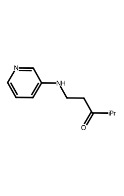 CC(C)C(=O)CCNc1cccnc1